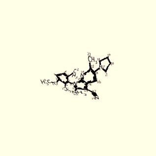 COc1ccc(C)c(-n2c(N)c(C#N)c3cc(N4CCCC4)c(C)nc32)c1C